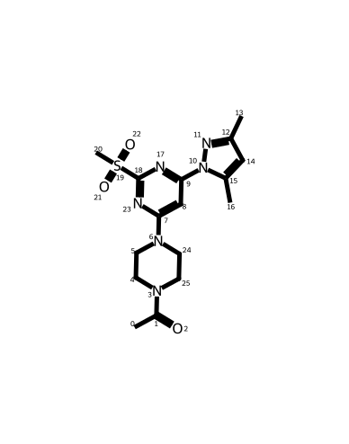 CC(=O)N1CCN(c2cc(-n3nc(C)cc3C)nc(S(C)(=O)=O)n2)CC1